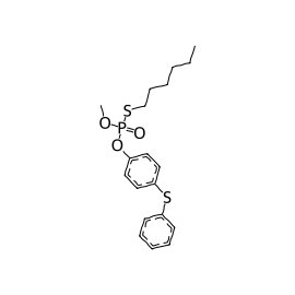 CCCCCCSP(=O)(OC)Oc1ccc(Sc2ccccc2)cc1